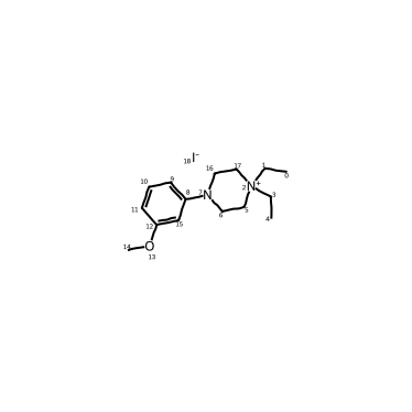 CC[N+]1(CC)CCN(c2cccc(OC)c2)CC1.[I-]